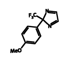 COc1ccc(C2(C(F)(F)F)N=CC=N2)cc1